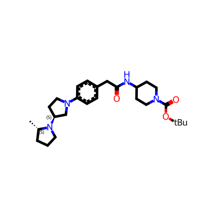 C[C@H]1CCCN1[C@H]1CCN(c2ccc(CC(=O)NC3CCN(C(=O)OC(C)(C)C)CC3)cc2)C1